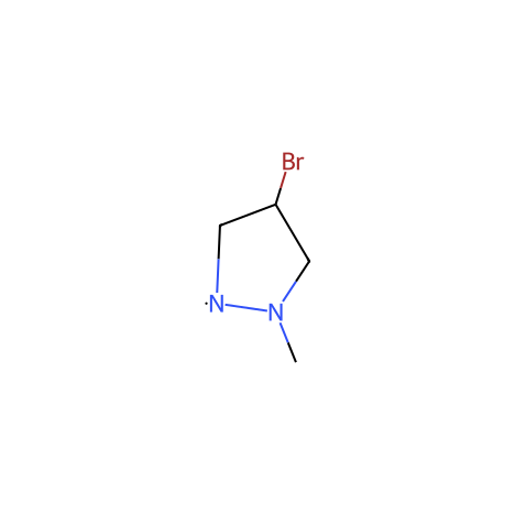 CN1CC(Br)C[N]1